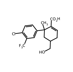 CC1(c2ccc(Cl)c(C(F)(F)F)c2)CC(CO)CC=C1C(=O)O